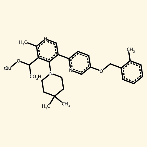 Cc1ccccc1COc1ccc(-c2cnc(C)c(C(OC(C)(C)C)C(=O)O)c2N2CCC(C)(C)CC2)nc1